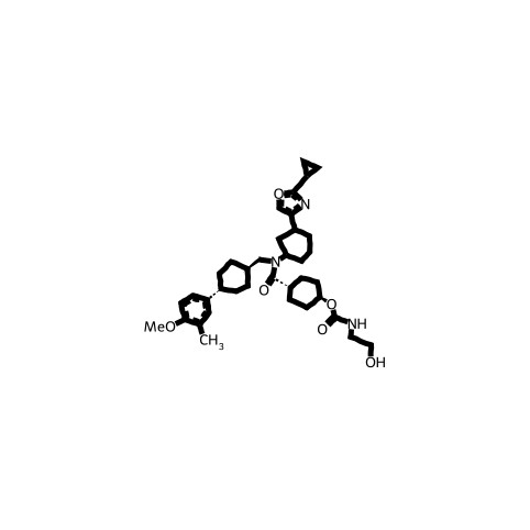 COc1ccc([C@H]2CC[C@H](CN(C(=O)[C@H]3CC[C@H](OC(=O)NCCO)CC3)C3CCCC(c4coc(C5CC5)n4)C3)CC2)cc1C